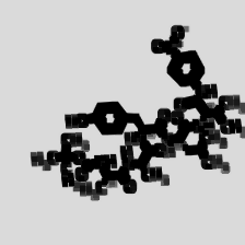 CC(C)C[C@H](NC(=O)[C@H](Cc1ccc(O)cc1)NC(=O)[C@H](C)NC(=O)[C@H](C)NC(=O)OC(C)(C)C)C(=O)N[C@H](C(=O)Nc1ccc([N+](=O)[O-])cc1)C(C)C